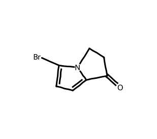 O=C1CCn2c(Br)ccc21